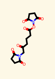 O=C(CCCC(=O)ON1C(=O)CCC1=O)CN1C(=O)CCC1=O